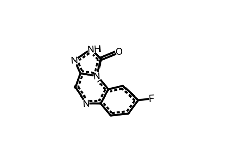 O=c1[nH]nc2cnc3ccc(F)cc3n12